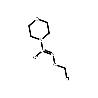 [O-]/[N+](=N\OCCl)N1CCOCC1